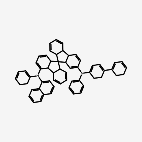 C1=CCCC(C2=CC=C(N(C3=CC4C(C=C3)C3C=CC=CC3C43C4C=CC=CC4C4C(N(C5=CC=CCC5)c5cccc6ccccc56)=CC=CC43)c3ccccc3)CC2)=C1